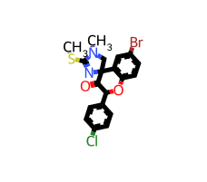 CSC1=NC2(CN1C)C(=O)C(c1ccc(Cl)cc1)Oc1ccc(Br)cc12